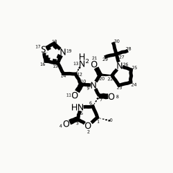 C[C@@H]1OC(=O)N[C@@H]1C(=O)N(C(=O)[C@@H](N)Cc1cscn1)C(=O)[C@@H]1CCCN1C(C)(C)C